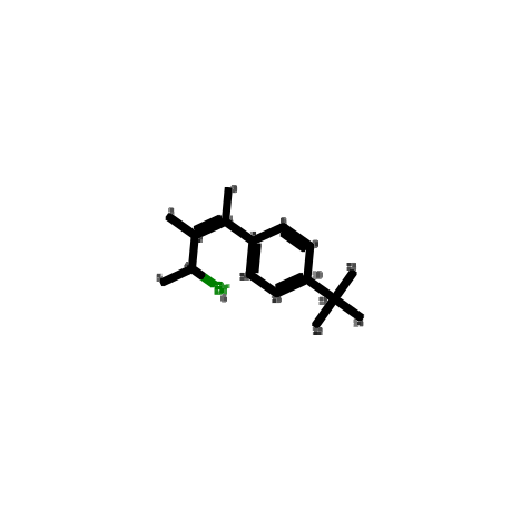 CC(=C(C)C(C)Br)c1ccc(C(C)(C)C)cc1